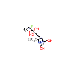 C=C(C(=O)OCC)C(=C\C(=C/CO)NCCO)/C=C/CC(O)C(O)C(=O)/C(F)=C\C